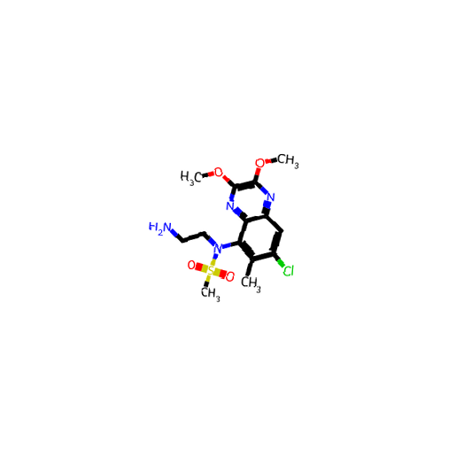 COc1nc2cc(Cl)c(C)c(N(CCN)S(C)(=O)=O)c2nc1OC